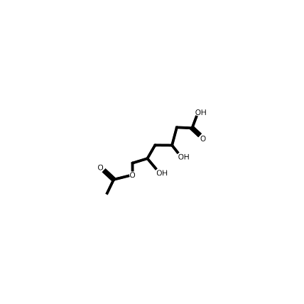 CC(=O)OCC(O)CC(O)CC(=O)O